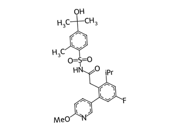 COc1ccc(-c2cc(F)cc(C(C)C)c2CC(=O)NS(=O)(=O)c2ccc(C(C)(C)O)cc2C)cn1